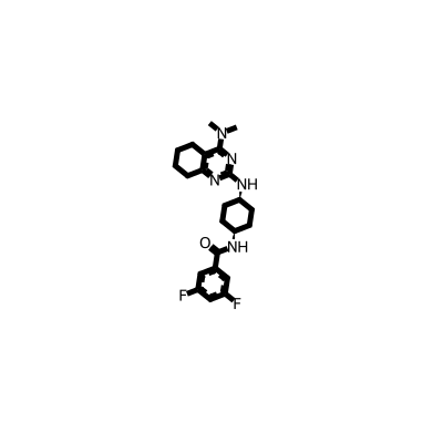 CN(C)c1nc(N[C@H]2CC[C@@H](NC(=O)c3cc(F)cc(F)c3)CC2)nc2c1CCCC2